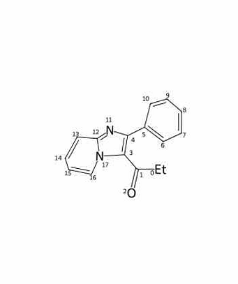 CCC(=O)c1c(-c2ccccc2)nc2ccccn12